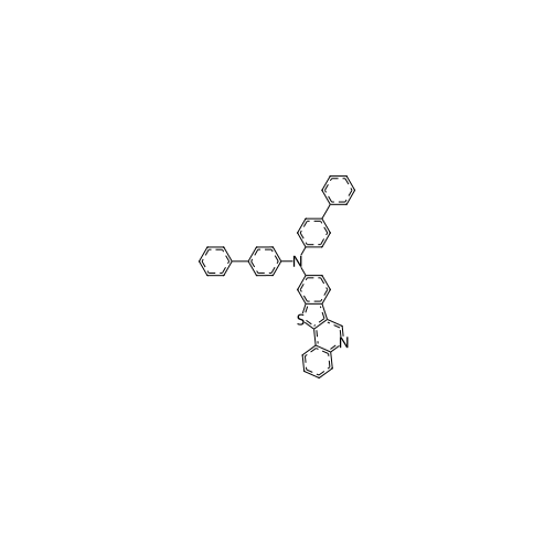 c1ccc(-c2ccc(N(c3ccc(-c4ccccc4)cc3)c3ccc4c(c3)sc3c5ccccc5ncc43)cc2)cc1